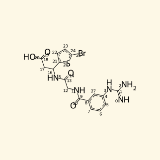 N=C(N)Nc1cccc(C(=O)NCC(=O)NC(CC(=O)O)c2ccc(Br)s2)c1